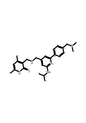 Cc1cc(C)c(CNCc2cc(NC(C)C)nc(-c3ccc(CN(C)C)cc3)c2)c(=O)[nH]1